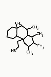 CC1CC2(CCS)C(C(C)CC3(C)CCCCC32)C(C)C1C